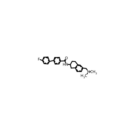 CN(C)Cc1ccc2c(c1)CCC(NC(=O)c1ccc(-c3ccc(F)cc3)cc1)C2